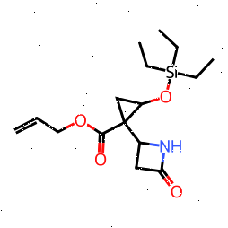 C=CCOC(=O)C1(C2CC(=O)N2)CC1O[Si](CC)(CC)CC